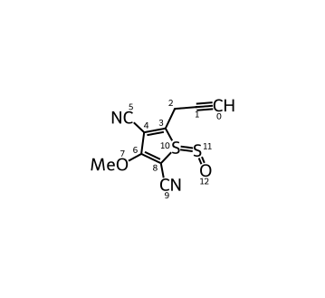 C#CCC1=C(C#N)C(OC)=C(C#N)S1=S=O